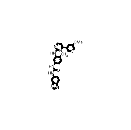 COc1cncc(-c2ccnc(Nc3cc(NC(=O)Nc4ccc5ncsc5c4)ccc3C)n2)c1